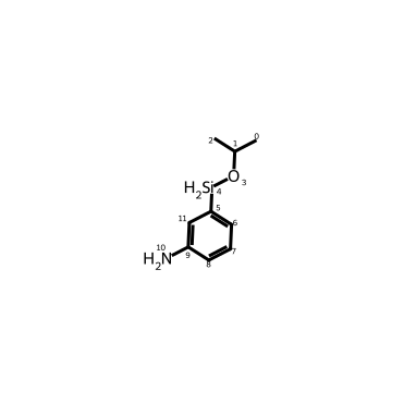 CC(C)O[SiH2]c1cccc(N)c1